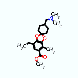 CCc1cc(C(=O)OC)c(C)c2c1OC1(CCC(CN(C)C)CC1)O2